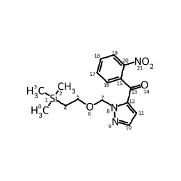 C[Si](C)(C)CCOCn1nccc1C(=O)c1ccccc1[N+](=O)[O-]